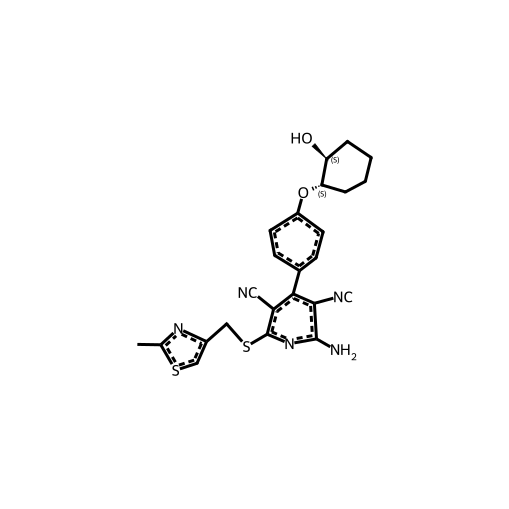 [C-]#[N+]c1c(N)nc(SCc2csc(C)n2)c(C#N)c1-c1ccc(O[C@H]2CCCC[C@@H]2O)cc1